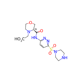 O=C(O)CN1CCOC[C@H]1C(=O)Nc1ccc(S(=O)(=O)N2CCNCC2)nn1